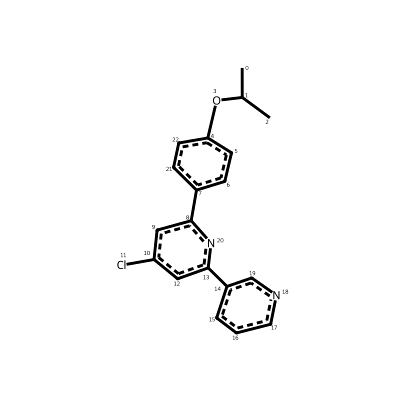 CC(C)Oc1ccc(-c2cc(Cl)cc(-c3cccnc3)n2)cc1